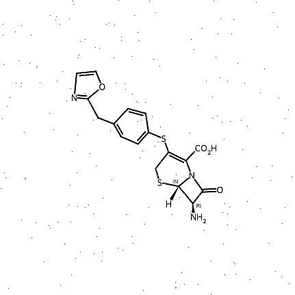 N[C@@H]1C(=O)N2C(C(=O)O)=C(Sc3ccc(Cc4ncco4)cc3)CS[C@@H]12